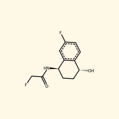 O=C(CF)N[C@@H]1CC[C@@H](O)c2ccc(F)cc21